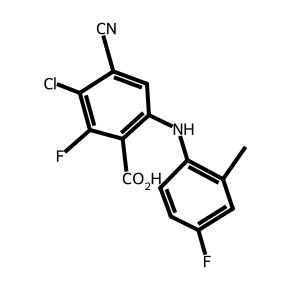 Cc1cc(F)ccc1Nc1cc(C#N)c(Cl)c(F)c1C(=O)O